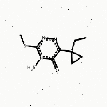 CCC1(c2nnc(SC)n(N)c2=O)CC1